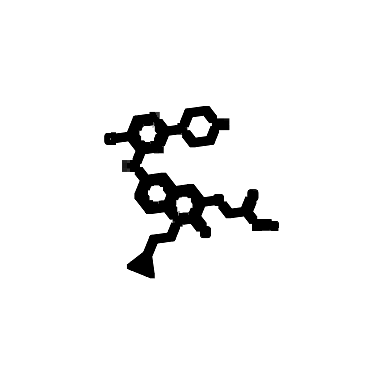 CNC(=O)COc1cc2cc(Nc3nc(N4CCNCC4)ncc3Cl)ccc2n(CCC2CC2)c1=O